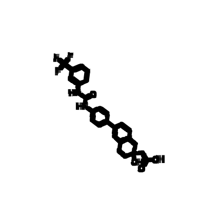 O=C(O)CC1(O)CCc2cc(-c3ccc(NC(=O)Nc4cccc(C(F)(F)F)c4)cc3)ccc2C1